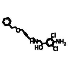 Nc1c(Cl)cc(C(O)CNCCC#CCOCCc2ccccc2)cc1Cl